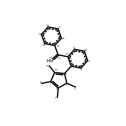 CC1=C(C)C(C)C(c2ccccc2C(=N)c2ccccc2)=C1C